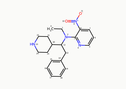 CCN(c1ncccc1[N+](=O)[O-])C(Cc1ccccc1)C1CCNCC1